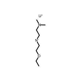 CCOCC[N-]CCN(C)C.[Li+]